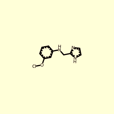 ClOc1cccc(NCc2ncc[nH]2)c1